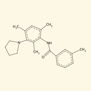 Cc1cccc(C(=O)Nc2c(C)cc(C)c(N3CCCC3)c2C)c1